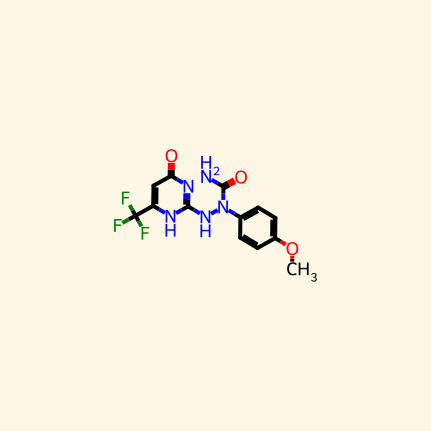 COc1ccc(N(Nc2nc(=O)cc(C(F)(F)F)[nH]2)C(N)=O)cc1